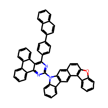 c1ccc2cc(-c3ccc(-c4nc(-n5c6ccccc6c6cc7c(ccc8oc9ccccc9c87)cc65)nc5c6ccccc6c6ccccc6c45)cc3)ccc2c1